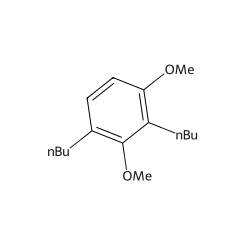 CCCCc1ccc(OC)c(CCCC)c1OC